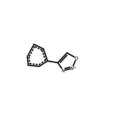 C1=C(c2ccccc2)N=[N+]O1